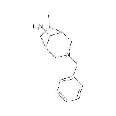 CC1CC2CN(Cc3ccccc3)CC1C2N